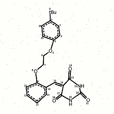 CC(C)(C)c1ccc(OCCOc2ccccc2C=C2C(=O)NC(=O)NC2=O)cc1